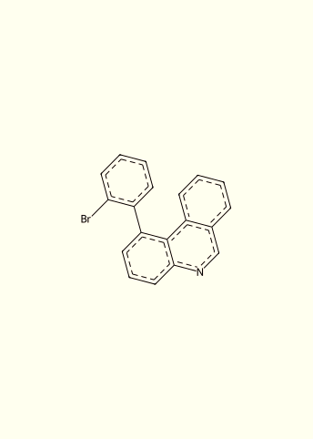 Brc1ccccc1-c1cccc2ncc3ccccc3c12